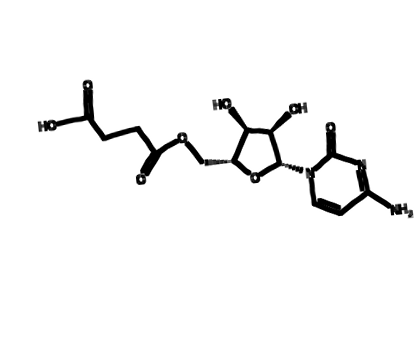 Nc1ccn([C@@H]2O[C@H](COC(=O)CCC(=O)O)[C@@H](O)[C@H]2O)c(=O)n1